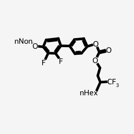 CCCCCCCCCOc1ccc(-c2ccc(OC(=O)OCCC(CCCCCC)C(F)(F)F)cc2)c(F)c1F